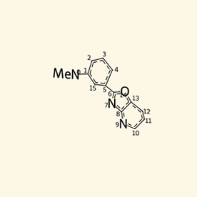 CNc1cccc(-c2nc3ncccc3o2)c1